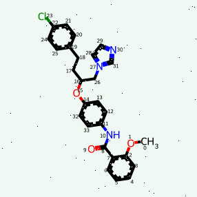 COc1ccccc1C(=O)Nc1ccc(OC(CCc2ccc(Cl)cc2)Cn2ccnc2)cc1